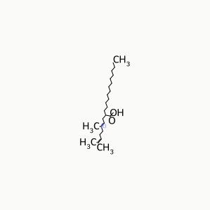 CCCCCCCCCCCCCCC(C/C=C(\C)CCC=C(C)C)C(=O)O